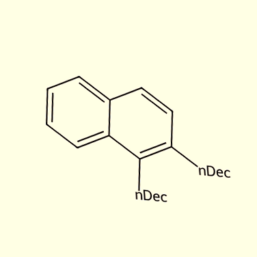 CCCCCCCCCCc1ccc2ccccc2c1CCCCCCCCCC